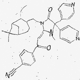 CCC1C(CN2C(=O)C(c3ccncc3)(c3ccncc3)N(C)C2=CC(=O)c2ccc(C#N)cc2)CC2CC1C2(C)C